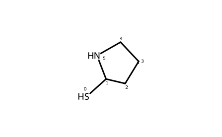 SC1C[CH]CN1